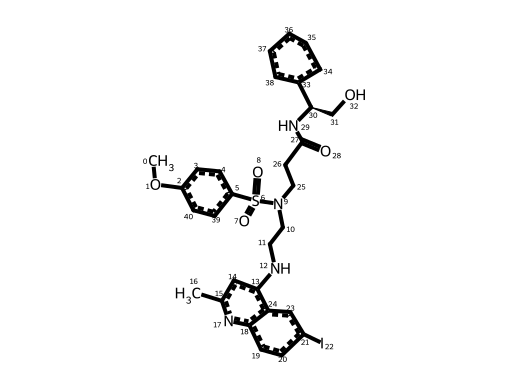 COc1ccc(S(=O)(=O)N(CCNc2cc(C)nc3ccc(I)cc23)CCC(=O)N[C@H](CO)c2ccccc2)cc1